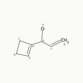 C=CC([O])C1=CCC1